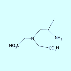 CC(N)CN(CC(=O)O)CC(=O)O